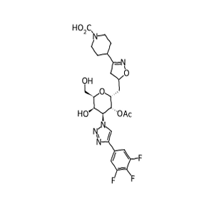 CC(=O)O[C@@H]1[C@@H](n2cc(-c3cc(F)c(F)c(F)c3)nn2)[C@@H](O)[C@@H](CO)O[C@@H]1CC1CC(C2CCN(C(=O)O)CC2)=NO1